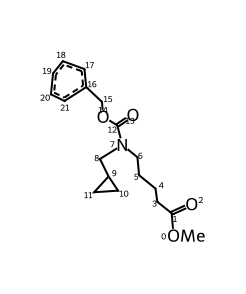 COC(=O)CCCCN(CC1CC1)C(=O)OCc1ccccc1